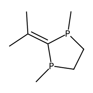 CC(C)=C1P(C)CCP1C